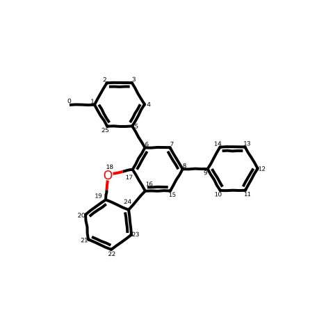 Cc1cccc(-c2cc(-c3ccccc3)cc3c2oc2ccccc23)c1